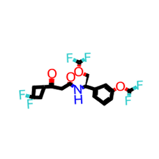 O=C(CC(=O)C1CC(F)(F)C1)N[C@@H](COC(F)F)c1cccc(OC(F)F)c1